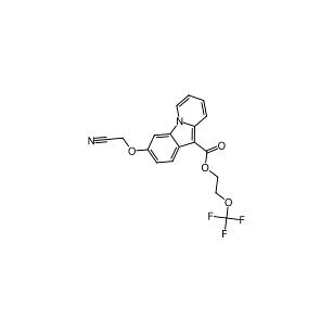 N#CCOc1ccc2c(C(=O)OCCOC(F)(F)F)c3ccccn3c2c1